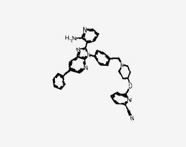 N#Cc1cccc(OC2CCN(Cc3ccc(-n4c(-c5cccnc5N)nc5cc(-c6ccccc6)cnc54)cc3)CC2)n1